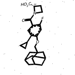 O=C(O)[C@@H]1CCN1C(=O)c1cc(C2CC2)c(OCC23CC4CC(CC(C4)C2)C3)cc1F